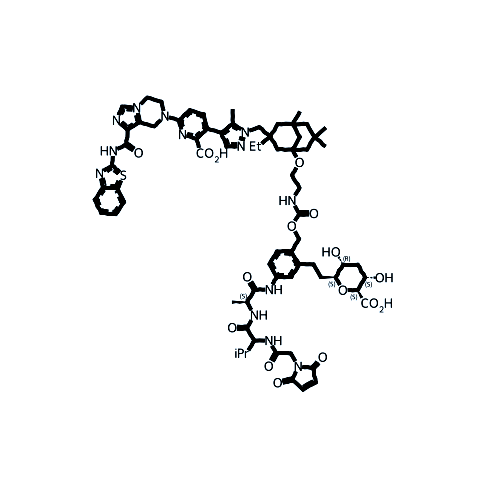 CCC1(Cn2ncc(-c3ccc(N4CCn5cnc(C(=O)Nc6nc7ccccc7s6)c5C4)nc3C(=O)O)c2C)CC2(C)CC(C)(C)CC(OCCNC(=O)OCc3ccc(NC(=O)[C@H](C)NC(=O)C(NC(=O)CN4C(=O)C=CC4=O)C(C)C)cc3CC[C@@H]3O[C@H](C(=O)O)[C@@H](O)C[C@H]3O)(C2)C1